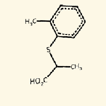 Cc1ccccc1SC(C)C(=O)O